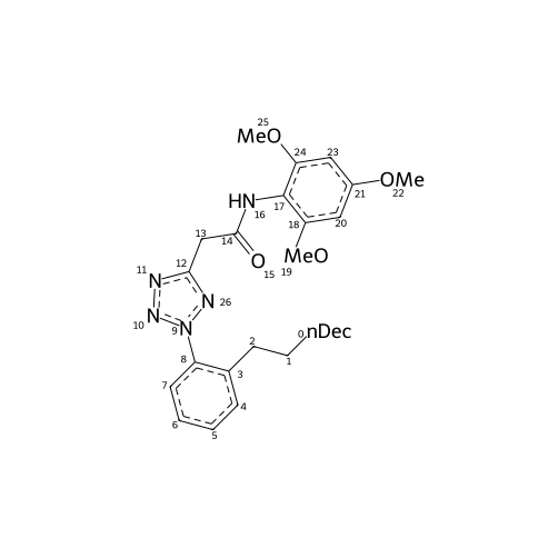 CCCCCCCCCCCCc1ccccc1-n1nnc(CC(=O)Nc2c(OC)cc(OC)cc2OC)n1